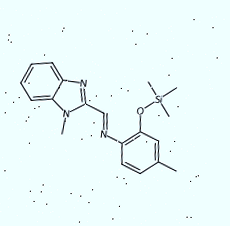 Cc1ccc(/N=C/c2nc3ccccc3n2C)c(O[Si](C)(C)C)c1